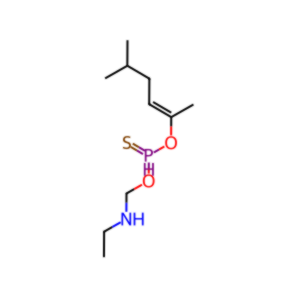 CCNCO[PH](=S)OC(C)=CCC(C)C